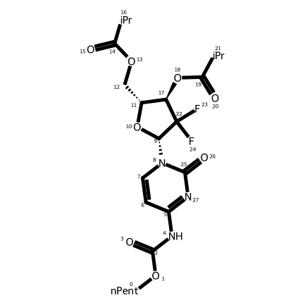 CCCCCOC(=O)Nc1ccn([C@@H]2O[C@H](COC(=O)C(C)C)[C@@H](OC(=O)C(C)C)C2(F)F)c(=O)n1